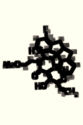 C=CC(=O)/C(O)=C1/C(=O)N(CCOC)C(C)N(C23c4ccccc4CC2Cc2c(F)cccc23)N1C